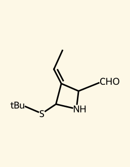 CC=C1C(C=O)NC1SC(C)(C)C